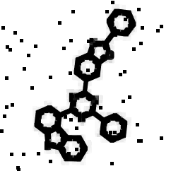 c1ccc(-c2nc(-c3ccc4nc(-c5ccccc5)oc4c3)nc(-c3cccc4sc5ccccc5c34)n2)cc1